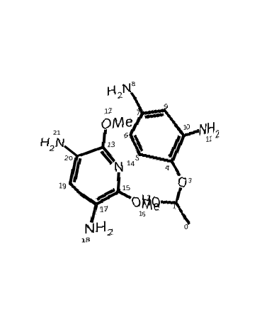 CC(O)Oc1ccc(N)cc1N.COc1nc(OC)c(N)cc1N